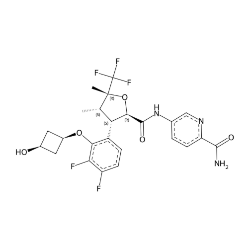 C[C@H]1[C@@H](c2ccc(F)c(F)c2O[C@H]2C[C@@H](O)C2)[C@H](C(=O)Nc2ccc(C(N)=O)nc2)O[C@@]1(C)C(F)(F)F